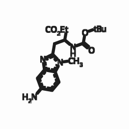 CCOC(=O)C(Cc1nc2cc(N)ccc2n1C)NC(=O)OC(C)(C)C